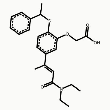 CCN(CC)C(=O)C=C(C)c1ccc(SC(C)c2ccccc2)c(OCC(=O)O)c1